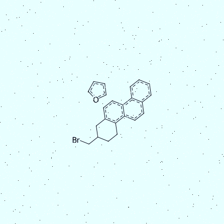 BrCC1CCc2c(ccc3c2ccc2ccccc23)C1.c1ccoc1